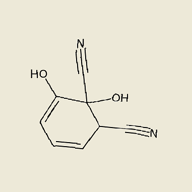 N#CC1C=CC=C(O)C1(O)C#N